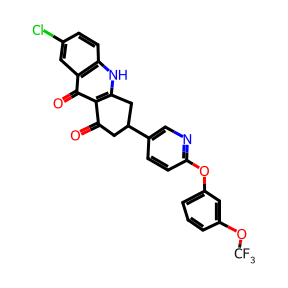 O=C1CC(c2ccc(Oc3cccc(OC(F)(F)F)c3)nc2)Cc2[nH]c3ccc(Cl)cc3c(=O)c21